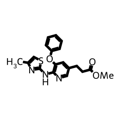 COC(=O)CCc1cnc(Nc2nc(C)cs2)c(Oc2ccccc2)c1